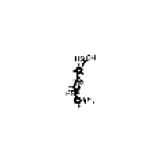 Cc1cc(OCC(O)CO)cc(C)c1CCS(=O)(=O)N1CCC2(CC1)N=C(c1ccc(F)c(OC(F)(F)F)c1)NC2=O